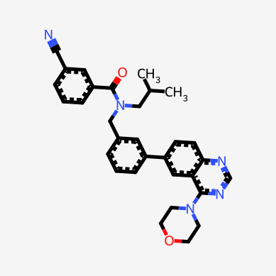 CC(C)CN(Cc1cccc(-c2ccc3ncnc(N4CCOCC4)c3c2)c1)C(=O)c1cccc(C#N)c1